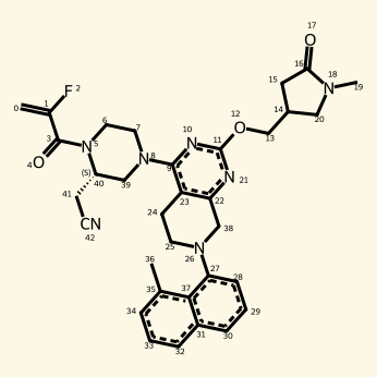 C=C(F)C(=O)N1CCN(c2nc(OCC3CC(=O)N(C)C3)nc3c2CCN(c2cccc4cccc(C)c24)C3)C[C@@H]1CC#N